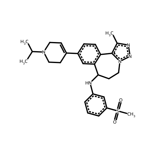 Cc1nnn2c1-c1ccc(C3=CCN(C(C)C)CC3)cc1C(Nc1cccc(S(C)(=O)=O)c1)CC2